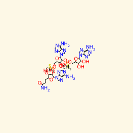 COC1C(CCC(N)=O)OC(n2cnc3c(N)ncnc32)C1OP(O)(=S)OCC1OC(n2cnc3c(N)ncnc32)C(OP(O)(=S)OCC2OC(n3cnc4c(N)ncnc43)C(O)C2O)C1OC